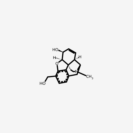 CN1CC[C@]23c4c5ccc(CO)c4O[C@H]2[C@@H](O)C=C[C@H]3C1C5